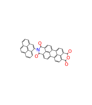 O=C1OC(=O)c2ccc3c4ccc5c6c(ccc(c7ccc1c2c73)c64)C(=O)N(c1cc2cccc3ccc4cccc1c4c32)C5=O